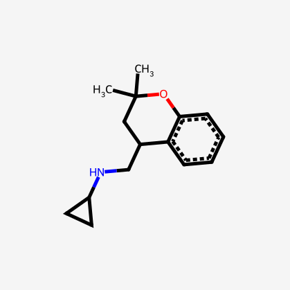 CC1(C)CC(CNC2CC2)c2ccccc2O1